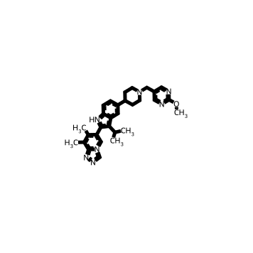 COc1ncc(CN2CCC(c3ccc4[nH]c(-c5cn6cnnc6c(C)c5C)c(C(C)C)c4c3)CC2)cn1